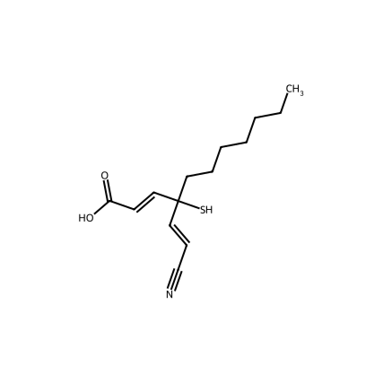 CCCCCCCC(S)(C=CC#N)C=CC(=O)O